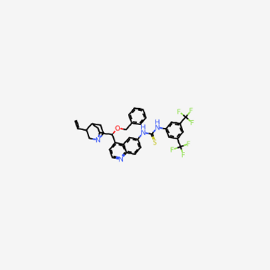 C=CC1CN2CCC1CC2[C@@H](OCc1ccccc1)c1ccnc2ccc(NC(=S)Nc3cc(C(F)(F)F)cc(C(F)(F)F)c3)cc12